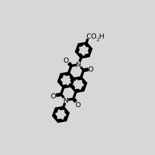 O=C(O)c1ccc(N2C(=O)c3ccc4c5c(ccc(c35)C2=O)C(=O)N(c2ccccc2)C4=O)cc1